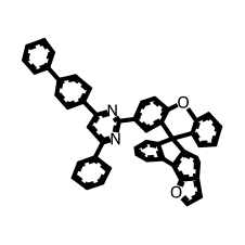 c1ccc(-c2ccc(-c3cc(-c4ccccc4)nc(-c4ccc5c(c4)C4(c6ccccc6O5)c5ccccc5-c5c4ccc4ccoc54)n3)cc2)cc1